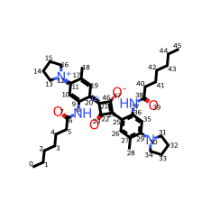 CCCCCCC(=O)NC1=CC(=[N+]2CCCC2)C(C)=C/C1=C1/C(=O)C(c2cc(C)c(N3CCCC3)cc2NC(=O)CCCCCC)=C1[O-]